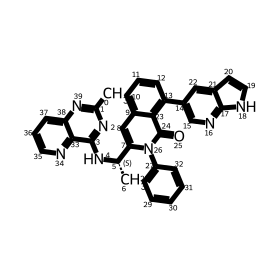 Cc1nc(N[C@@H](C)c2cc3cccc(-c4cnc5[nH]ccc5c4)c3c(=O)n2-c2ccccc2)c2ncccc2n1